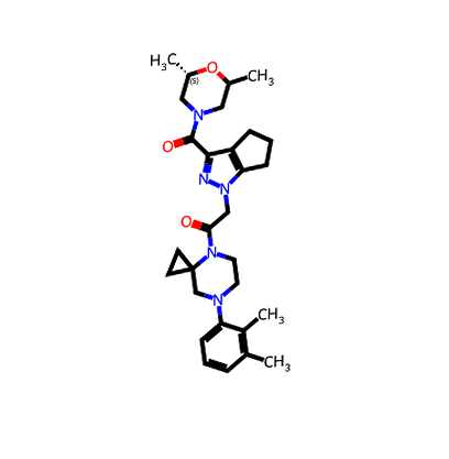 Cc1cccc(N2CCN(C(=O)Cn3nc(C(=O)N4CC(C)O[C@@H](C)C4)c4c3CCC4)C3(CC3)C2)c1C